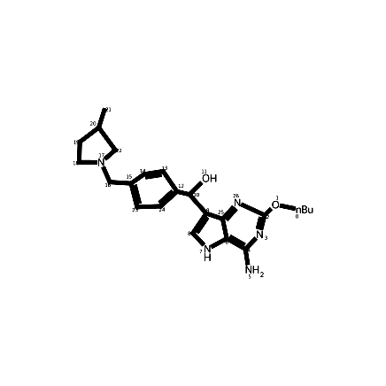 CCCCOc1nc(N)c2[nH]cc(C(O)c3ccc(CN4CCC(C)C4)cc3)c2n1